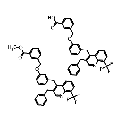 COC(=O)c1cccc(COc2cccc(Cc3c(Cc4ccccc4)cnc4c(C(F)(F)F)cccc34)c2)c1.O=C(O)c1cccc(COc2cccc(Cc3c(Cc4ccccc4)cnc4c(C(F)(F)F)cccc34)c2)c1